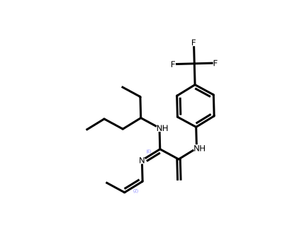 C=C(Nc1ccc(C(F)(F)F)cc1)/C(=N\C=C/C)NC(CC)CCC